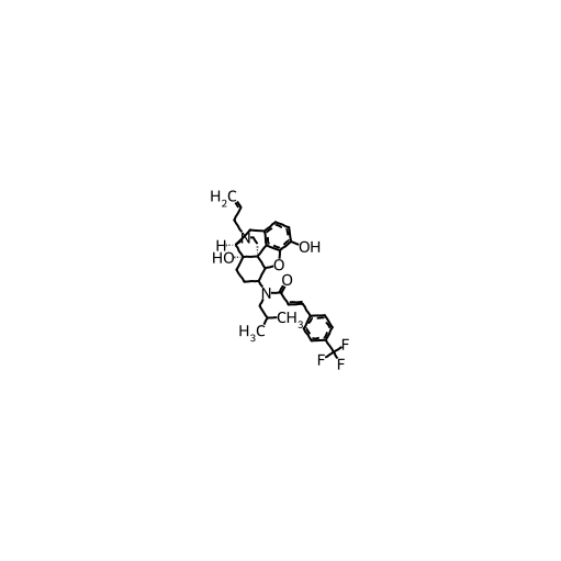 C=CCN1CC[C@]23c4c5ccc(O)c4OC2C(N(CC(C)C)C(=O)/C=C/c2ccc(C(F)(F)F)cc2)CC[C@@]3(O)[C@H]1C5